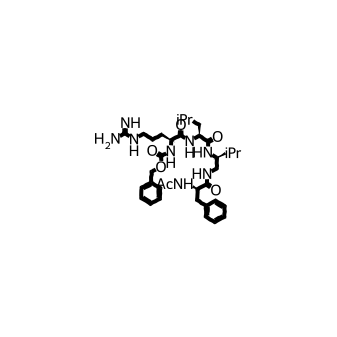 CC(=O)N[C@H](Cc1ccccc1)C(=O)NC[C@@H](NC(=O)[C@H](CC(C)C)NC(=O)[C@H](CCCNC(=N)N)NC(=O)OCc1ccccc1)C(C)C